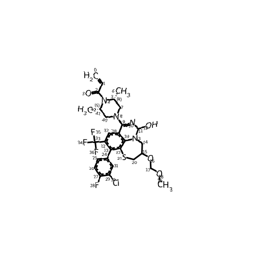 C=CC(=O)N1[C@H](C)CN(C2=NC(O)N3CC(OCOC)CSc4c(-c5ccc(F)c(Cl)c5)c(C(F)(F)F)cc2c43)C[C@@H]1C